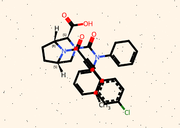 CC1C=CC=C(N(C(=O)N2C[C@@H]3CC[C@H]([C@H]2C(=O)O)N3C(=O)C#Cc2ccc(Cl)cc2)C2=CC=CCC2)C1